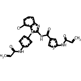 C=CC(=O)Nc1ccc(-n2c(NC(=O)c3csc(NC(=O)C=C)c3)nc3cccc(Cl)c32)cc1